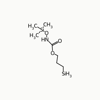 C[Si](C)(C)ONC(=O)OCCC[SiH3]